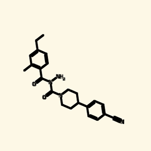 CCc1ccc(C(=O)N(N)C(=O)N2CCC(c3ccc(C#N)cc3)CC2)c(C)c1